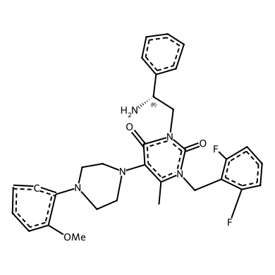 COc1ccccc1N1CCN(c2c(C)n(Cc3c(F)cccc3F)c(=O)n(C[C@H](N)c3ccccc3)c2=O)CC1